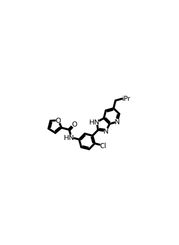 CC(C)Cc1cnc2nc(-c3cc(NC(=O)c4ccco4)ccc3Cl)[nH]c2c1